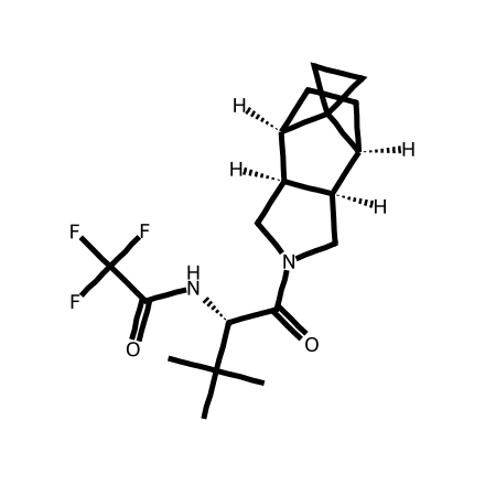 CC(C)(C)[C@H](NC(=O)C(F)(F)F)C(=O)N1C[C@@H]2[C@H](C1)[C@@H]1CC[C@H]2C12CC2